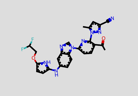 CC(=O)c1ccc(-n2cnc3cc(Nc4ccc(OCC(F)F)[nH]4)ccc32)nc1-n1nc(C#N)cc1C